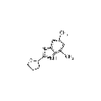 Cc1cc(C)c2[nH]c(C3CCCO3)nc2c1